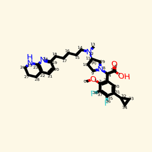 COc1c(C(C(=O)O)N2CC[C@@H](N(C)CCCCCc3ccc4c(n3)NCCC4)C2)cc(C2CC2)c(F)c1F